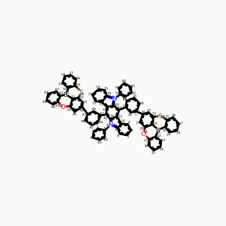 c1ccc(-n2c3ccccc3c3c(-c4cccc(-c5cc6c7c(c5)Sc5ccccc5B7c5ccccc5O6)c4)c4c(c(-c5cccc(-c6cc7c8c(c6)Sc6ccccc6B8c6ccccc6O7)c5)c32)c2ccccc2n4-c2ccccc2)cc1